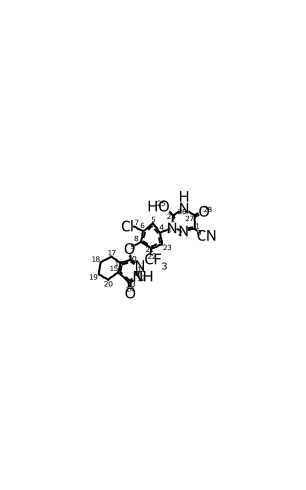 N#CC1=NN(c2cc(Cl)c(Oc3n[nH]c(=O)c4c3CCCC4)c(C(F)(F)F)c2)C(O)NC1=O